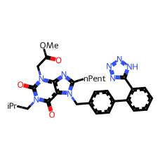 CCCCCc1nc2c(c(=O)n(CC(C)C)c(=O)n2CC(=O)OC)n1Cc1ccc(-c2ccccc2-c2nnn[nH]2)cc1